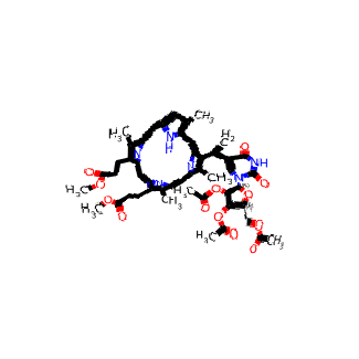 C=C(C1=C(C)c2cc3[nH]c(cc4nc(cc5cc(C)c(cc1n2)[nH]5)C(C)=C4CCC(=O)OC)c(CCC(=O)OC)c3C)c1cn([C@@H]2O[C@H](COC(C)=O)C(OC(C)=O)C2OC(C)=O)c(=O)[nH]c1=O